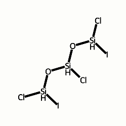 Cl[SiH](I)O[SiH](Cl)O[SiH](Cl)I